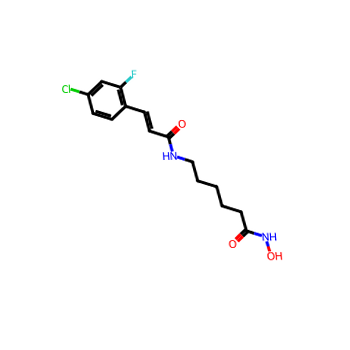 O=C(C=Cc1ccc(Cl)cc1F)NCCCCCC(=O)NO